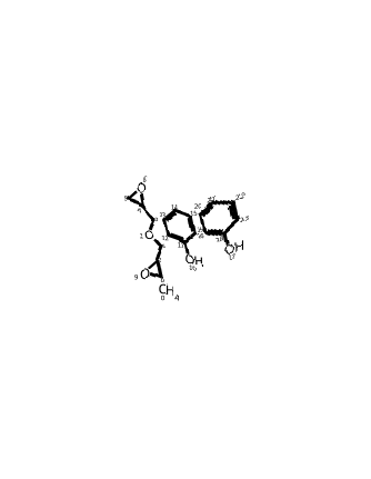 C.C(OCC1CO1)C1CO1.Oc1ccccc1.Oc1ccccc1